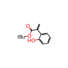 C=C(C(=O)OC(C)(C)C)c1ccccc1O